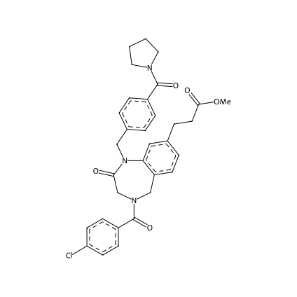 COC(=O)CCc1ccc2c(c1)N(Cc1ccc(C(=O)N3CCCC3)cc1)C(=O)CN(C(=O)c1ccc(Cl)cc1)C2